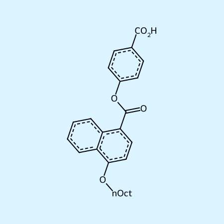 CCCCCCCCOc1ccc(C(=O)Oc2ccc(C(=O)O)cc2)c2ccccc12